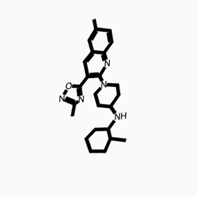 Cc1ccc2nc(N3CCC(NC4CCCCC4C)CC3)c(-c3nc(C)no3)cc2c1